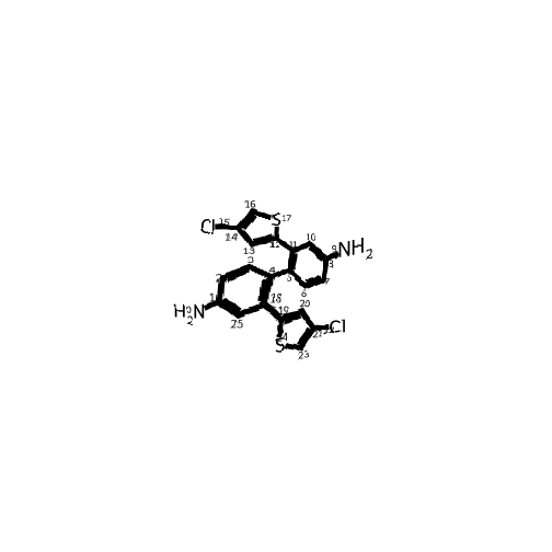 Nc1ccc(-c2ccc(N)cc2-c2cc(Cl)cs2)c(-c2cc(Cl)cs2)c1